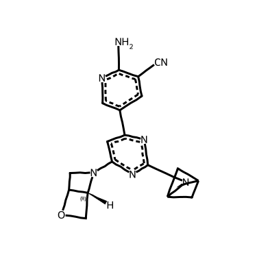 N#Cc1cc(-c2cc(N3CC4OC[C@H]43)nc(N3CC4CC3C4)n2)cnc1N